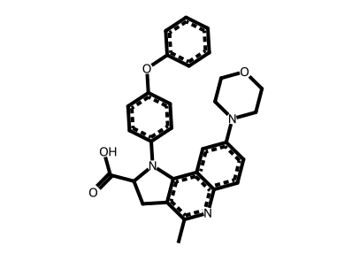 Cc1nc2ccc(N3CCOCC3)cc2c2c1CC(C(=O)O)N2c1ccc(Oc2ccccc2)cc1